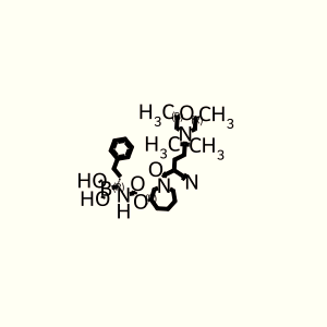 C[C@@H]1CN(C(C)(C)CCC(C#N)C(=O)N2CCCC[C@@H](OC(=O)N[C@@H](CCc3ccccc3)B(O)O)C2)C[C@@H](C)O1